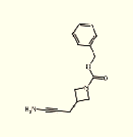 NC#CCC1CN(C(=O)OCc2ccccc2)C1